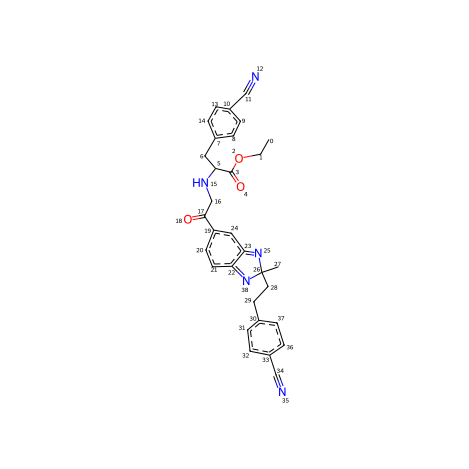 CCOC(=O)C(Cc1ccc(C#N)cc1)NCC(=O)c1ccc2c(c1)=NC(C)(CCc1ccc(C#N)cc1)N=2